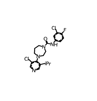 CC(C)c1cncc(Cl)c1N1CCCN(C(=O)Nc2ccc(F)c(Cl)c2)CC1